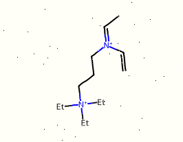 C=C/[N+](=C\C)CCC[N+](CC)(CC)CC